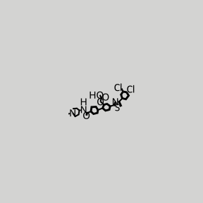 CN1CCC(NC(=O)c2ccc(-c3ccc(-c4nc(-c5ccc(Cl)c(Cl)c5)cs4)cc3OC(=O)O)cc2)CC1